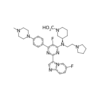 CN1CCN(c2ccc(-c3nc(-c4cnc5ccc(F)cn45)nc(N(CCN4CCCC4)[C@@H]4CCCN(C(=O)O)C4)c3F)cc2)CC1